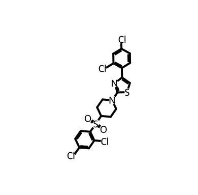 O=S(=O)(c1ccc(Cl)cc1Cl)C1CCN(c2nc(-c3ccc(Cl)cc3Cl)cs2)CC1